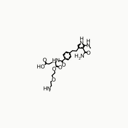 CNCCOCCOC(=O)[C@H](CCC(=O)O)NC(=O)c1ccc(CCc2c[nH]c(NC)c2C(N)=O)cc1